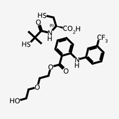 CC(C)(S)C(=O)N[C@@H](CS)C(=O)O.O=C(OCCOCCO)c1ccccc1Nc1cccc(C(F)(F)F)c1